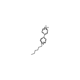 CCCCCC[n+]1ccc(-c2cc[n+](C)cc2)cc1